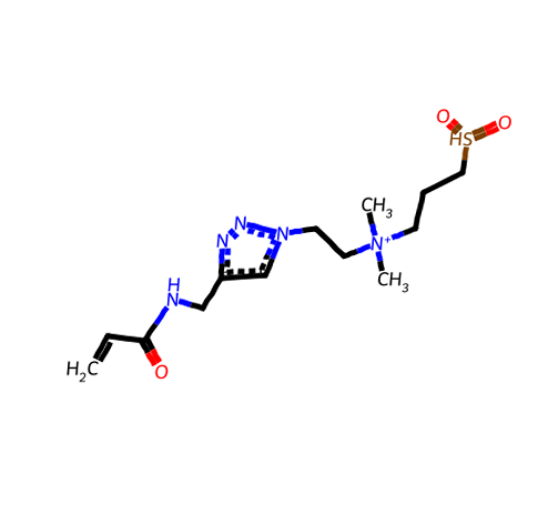 C=CC(=O)NCc1cn(CC[N+](C)(C)CCC[SH](=O)=O)nn1